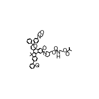 C=C(C)C(=O)OCCNC(=O)OCC1CCCN(c2cc3c4c(c5c(c3cc2OC)OC(c2ccccc2)(c2ccc(N3CCOCC3)cc2)C=C5)C(C)(C)c2cc(-c3ccccc3OC)ccc2-4)C1